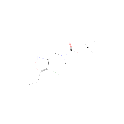 CCC1=C(Br)C(CN(C)C(=O)OC(C)(C)C)NO1